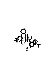 Cc1cc(C2CCCCC2)c(CNC(=O)c2cc(Br)cc3c2cnn3C(C)C)c(=O)[nH]1